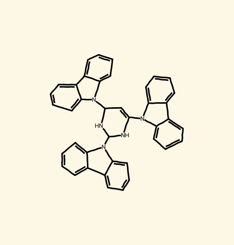 C1=C(n2c3ccccc3c3ccccc32)NC(n2c3ccccc3c3ccccc32)NC1n1c2ccccc2c2ccccc21